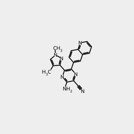 Cc1cn(C)nc1-c1nc(N)c(C#N)nc1-c1ccc2ncccc2c1